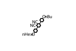 CCCCCCOc1ccc(-c2ccc(-c3ccc(OCCCC)cc3)c(C#N)c2C#N)cc1